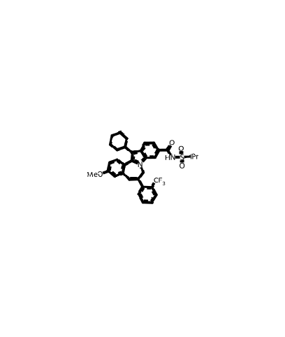 COc1ccc2c(c1)C=C(c1ccccc1C(F)(F)F)Cn1c-2c(C2CCCCC2)c2ccc(C(=O)NS(=O)(=O)C(C)C)cc21